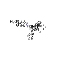 COC(=O)c1ccc(/C=C/CC[C@@H](NC(=O)OC(C)(C)C)[C@H](C)COc2ccccc2)cc1